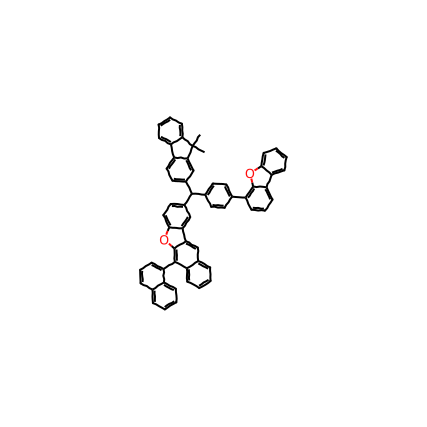 CC1(C)c2ccccc2-c2ccc(C(c3ccc(-c4cccc5c4oc4ccccc45)cc3)c3ccc4oc5c(-c6cccc7ccccc67)c6ccccc6cc5c4c3)cc21